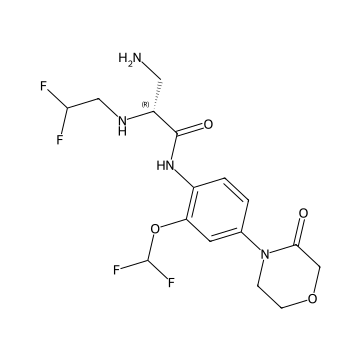 NC[C@@H](NCC(F)F)C(=O)Nc1ccc(N2CCOCC2=O)cc1OC(F)F